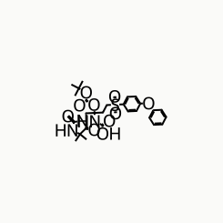 CC(C)(C)OC(=O)OC(CCS(=O)(=O)c1ccc(Oc2ccccc2)cc1)(CN1C(=O)NC(C)(C)C1=O)NC(=O)O